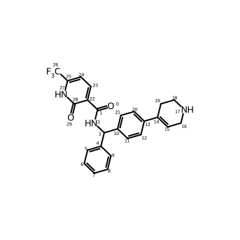 O=C(NC(c1ccccc1)c1ccc(C2=CCNCC2)cc1)c1ccc(C(F)(F)F)[nH]c1=O